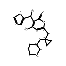 CCC(c1cccs1)c1c(O)cc(CC2(CC3CCCOC3)CC2)oc1=O